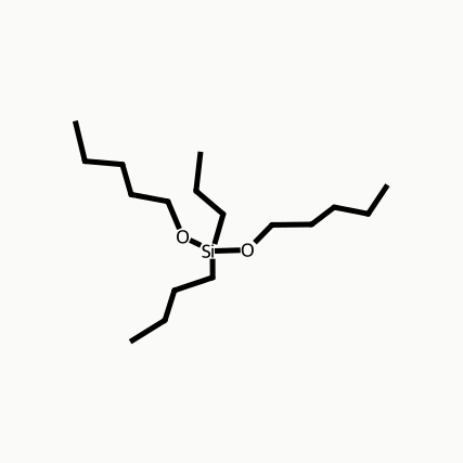 CCCCCO[Si](CCC)(CCCC)OCCCCC